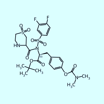 CN(C)C(=O)Oc1ccc(C[C@@H](C(=O)OC(C)(C)C)N(C(=O)C2CS(=O)(=O)CCN2)S(=O)(=O)c2ccc(F)c(F)c2)cc1